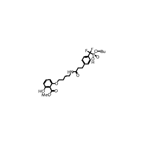 CCC(C)OP(=O)(O)C(F)(F)c1ccc(CCC(=O)NCCCCOc2cccc(O)c2C(=O)OC)cc1